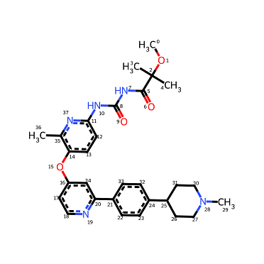 COC(C)(C)C(=O)NC(=O)Nc1ccc(Oc2ccnc(-c3ccc(C4CCN(C)CC4)cc3)c2)c(C)n1